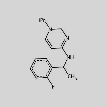 CC(NC1=NCN(C(C)C)C=C1)c1ccccc1F